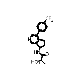 C[C@@H](O)C(=O)NC1CCc2c(-c3ccc(C(F)(F)F)cc3)cncc21